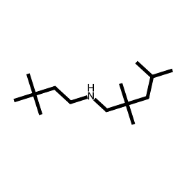 CC(C)CC(C)(C)CNCCC(C)(C)C